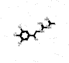 [2H]c1cc(C([2H])CNC(=N)NC(C)=N)cc([2H])c1[2H]